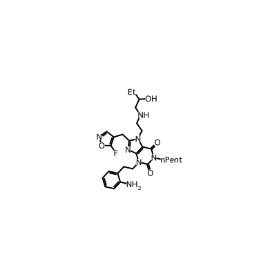 CCCCCn1c(=O)c2c(nc(Cc3cnoc3F)n2CCNCC(O)CC)n(CCc2ccccc2N)c1=O